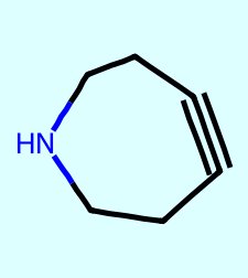 C1#CCCNCC1